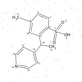 Cc1ccc(S(=O)(=O)O)c(C(C)c2ccncc2)c1